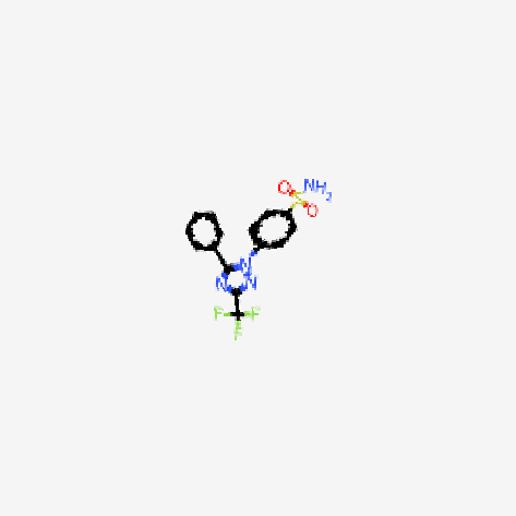 NS(=O)(=O)c1ccc(-n2nc(C(F)(F)F)nc2-c2ccccc2)cc1